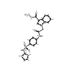 COC(=O)c1cn(CC(=O)Nc2ccc(S(=O)(=O)Nc3nccs3)cc2)c2ccccc12